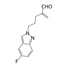 C=C(C=O)CCCn1cc2cc(F)ccc2n1